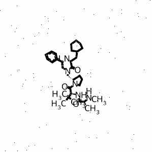 CN[C@@H](C)C(=O)N[C@H](C(=O)N1CCC[C@H]1CN(CCc1ccccc1)C(=O)[C@H](N)CC1CCCCC1)C(C)(C)C